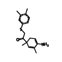 CC1=CC(C)(C(=O)CSc2ccc(C)c(C)c2)CC=C1N